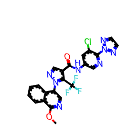 COc1ncc(-n2ncc(C(=O)Nc3cnc(-n4nccn4)c(Cl)c3)c2C(F)(F)F)c2ccccc12